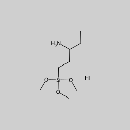 CCC(N)CC[Si](OC)(OC)OC.I